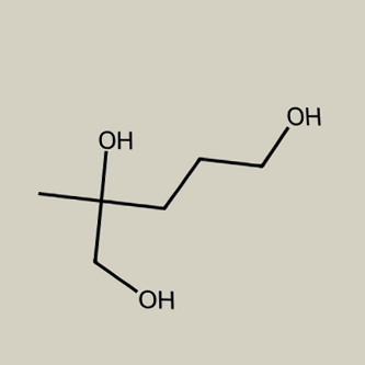 CC(O)(CO)CCCO